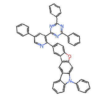 c1ccc(-c2cnc(-c3ccc4oc5cc6c(cc5c4c3)c3ccccc3n6-c3ccccc3)c(-c3nc(-c4ccccc4)nc(-c4ccccc4)n3)c2)cc1